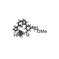 COCCNc1cc(C(=O)N2CC3CCC(C2)NC3)cc(-c2cnn3ccc(-c4cccs4)nc23)n1